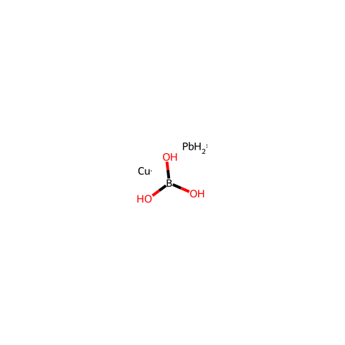 OB(O)O.[Cu].[PbH2]